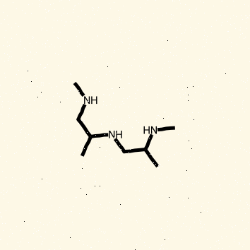 CNCC(C)NCC(C)NC